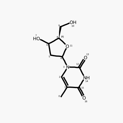 Cc1cn(C2CC(O)[C@@H](CO)O2)c(=O)[nH]c1=O